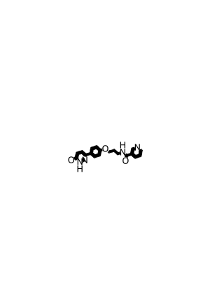 O=C(NCCCOc1ccc(-c2ccc(=O)[nH]n2)cc1)c1cccnc1